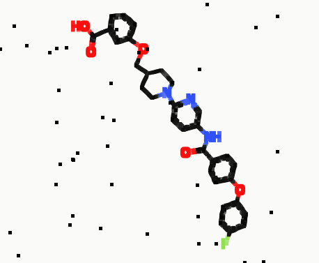 O=C(O)c1cccc(OCC2CCN(c3ccc(NC(=O)c4ccc(Oc5ccc(F)cc5)cc4)cn3)CC2)c1